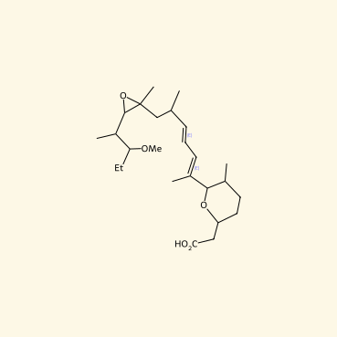 CCC(OC)C(C)C1OC1(C)CC(C)/C=C/C=C(\C)C1OC(CC(=O)O)CCC1C